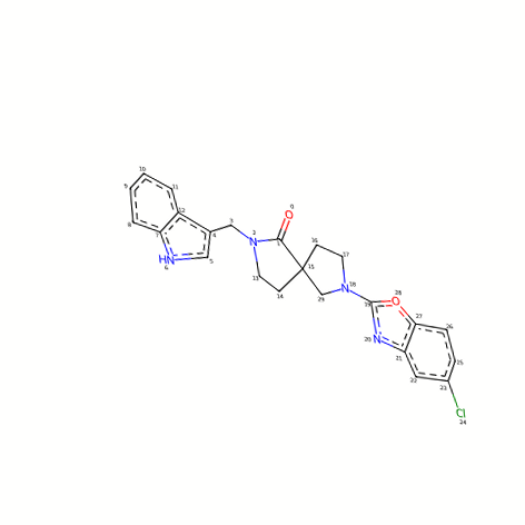 O=C1N(Cc2c[nH]c3ccccc23)CCC12CCN(c1nc3cc(Cl)ccc3o1)C2